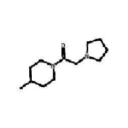 CC1CCN(C(=O)CN2CCCC2)CC1